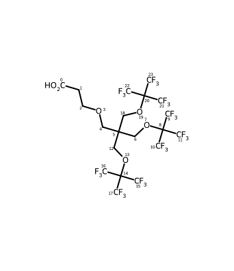 O=C(O)CCOCC(COC(C(F)(F)F)(C(F)(F)F)C(F)(F)F)(COC(C(F)(F)F)(C(F)(F)F)C(F)(F)F)COC(C(F)(F)F)(C(F)(F)F)C(F)(F)F